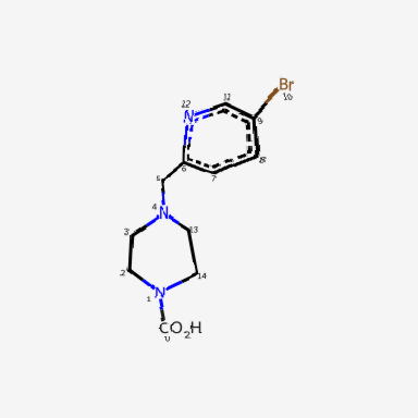 O=C(O)N1CCN(Cc2ccc(Br)cn2)CC1